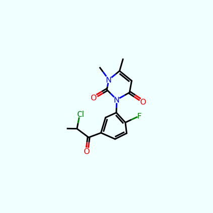 Cc1cc(=O)n(-c2cc(C(=O)C(C)Cl)ccc2F)c(=O)n1C